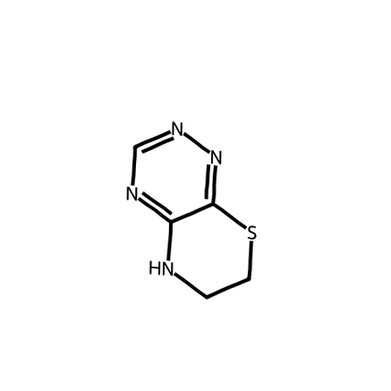 c1nnc2c(n1)NCCS2